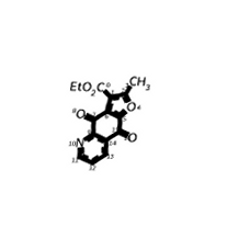 CCOC(=O)c1c(C)oc2c1C(=O)c1ncccc1C2=O